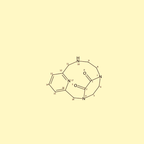 O=C1C(=O)N2CCN1CCNCc1cccc(n1)C2